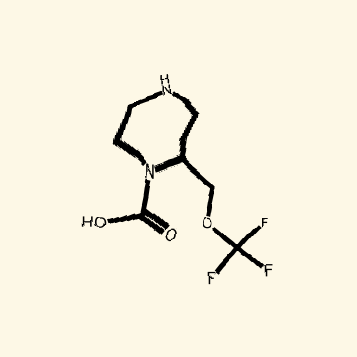 O=C(O)N1CCNCC1COC(F)(F)F